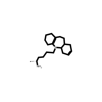 C[C@@H](N)CCCCN1C2=C(CCCC2)CCC2CC=CCC21